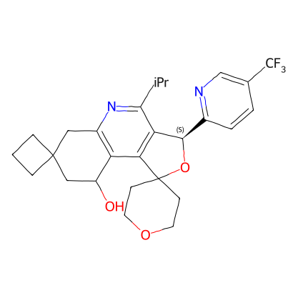 CC(C)c1nc2c(c3c1[C@@H](c1ccc(C(F)(F)F)cn1)OC31CCOCC1)C(O)CC1(CCC1)C2